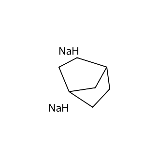 C1CC2CCC1C2.[NaH].[NaH]